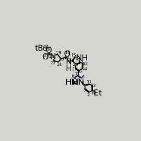 CCc1ccc(N/C=C(\C=N)c2ccc3[nH]cc(NC(=O)C4CCN(C(=O)OC(C)(C)C)C4)c3c2)cc1